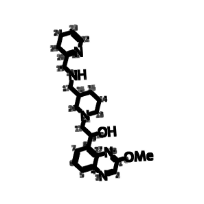 COc1cnc2cccc(C(O)CN3CCCC(CNCC4=NC=CCC4)C3)c2n1